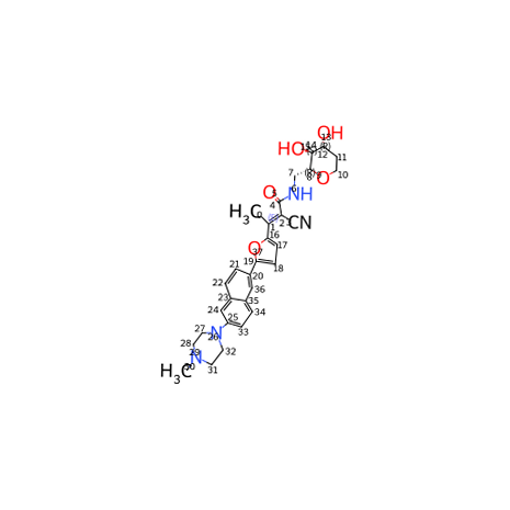 C/C(=C(/C#N)C(=O)NC[C@H]1OCC[C@@H](O)[C@@H]1O)c1ccc(-c2ccc3cc(N4CCN(C)CC4)ccc3c2)o1